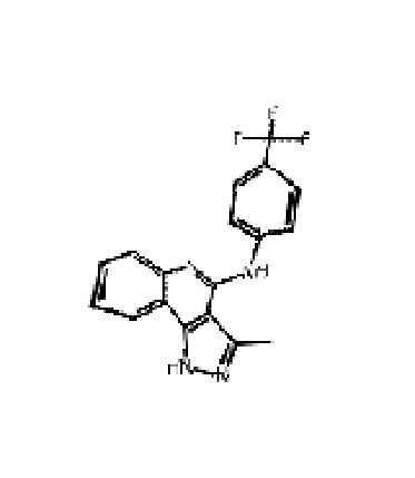 Cc1n[nH]c2c1c(Nc1ccc(C(F)(F)F)cc1)nc1ccccc12